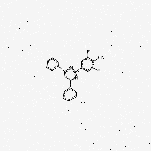 N#Cc1c(F)cc(-c2nc(-c3ccccc3)cc(-c3ccccc3)n2)cc1F